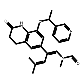 CC(C)=C/C(=C\N(C)C=O)c1cc2c(c(OC(C)c3cccnc3)c1)NC(=O)CC2